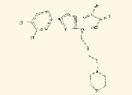 Clc1ccc(-n2ccc(OCCCCN3CCSCC3)n2)cc1Cl.O=C(O)C(=O)O